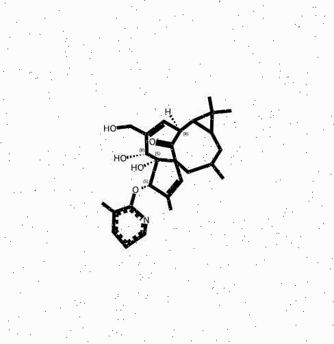 CC1=CC23CC(C)CC4C([C@H](C=C(CO)[C@@H](O)[C@]2(O)[C@H]1Oc1ncccc1C)C3=O)C4(C)C